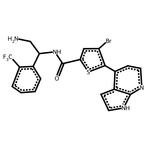 NCC(NC(=O)c1cc(Br)c(-c2ccnc3[nH]ccc23)s1)c1ccccc1C(F)(F)F